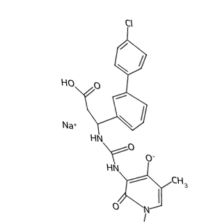 Cc1cn(C)c(=O)c(NC(=O)NC(CC(=O)O)c2cccc(-c3ccc(Cl)cc3)c2)c1[O-].[Na+]